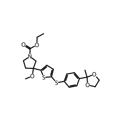 CCOC(=O)N1CCC(OC)(c2ccc(Sc3ccc(C4(C)OCCO4)cc3)s2)C1